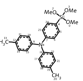 CO[Si](OC)(OC)c1ccc(N(c2ccc(C)cc2)c2ccc(C)cc2)cc1